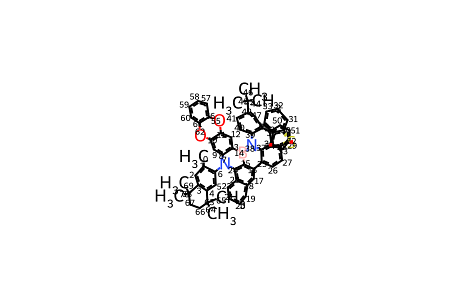 Cc1cc2c(cc1N1c3cc4c(cc3B3c5c(cc6ccccc6c51)-c1ccc5sc6ccccc6c5c1N3c1ccc(C(C)(C)C)cc1-c1ccccc1)Oc1ccccc1O4)C(C)(C)CCC2(C)C